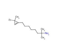 CCC1(C)C=C1CCCCCCC(C)(C)N